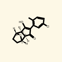 Cc1ccc(Cl)cc1C1=C(O)[C@H]2[C@@H](C1=O)[C@@H]1CC[C@H]2O1